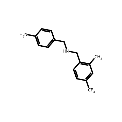 Cc1cc(C(F)(F)F)ccc1CNCc1ccc(N)cc1